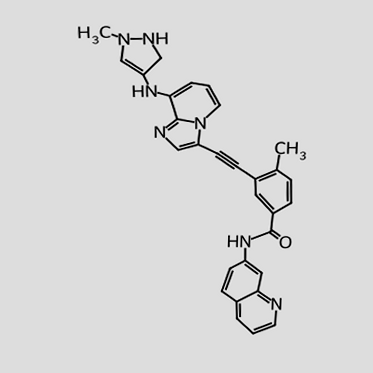 Cc1ccc(C(=O)Nc2ccc3cccnc3c2)cc1C#Cc1cnc2c(NC3=CN(C)NC3)cccn12